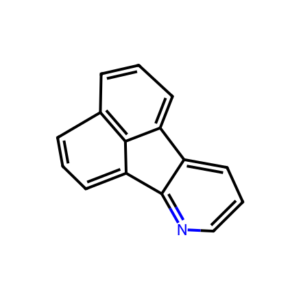 c1cnc2c(c1)-c1cccc3cccc-2c13